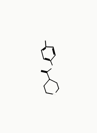 O=C(Oc1ccc(Cl)cc1)C1CCNCC1